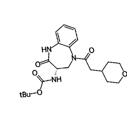 CC(C)(C)OC(=O)N[C@H]1CN(C(=O)CC2CCOCC2)c2ccccc2NC1=O